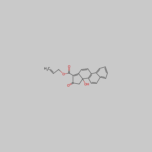 C=CCOC(=O)C1=C2C=Cc3c(ccc4ccccc34)C2(O)CC1=O